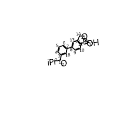 CC(C)C(=O)c1cccc(-c2ccc3c(c2)COB3O)c1